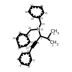 CC(C)C(C#Cc1ccccc1)N(Cc1ccccc1)Cc1ccccc1